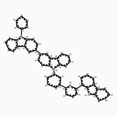 c1ccc(-n2c3ccccc3c3cc(-c4ccc5c(c4)c4ccccc4n5-c4cccc(-c5cccc(-c6cccc7c6sc6ccccc67)n5)c4)ccc32)cc1